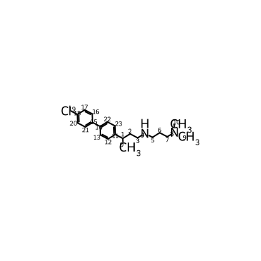 CC(CCNCCCN(C)C)c1ccc(-c2ccc(Cl)cc2)cc1